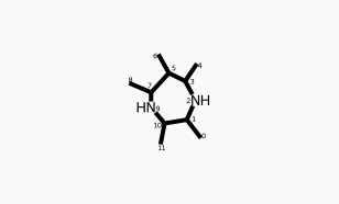 CC1NC(C)C(C)C(C)NC1C